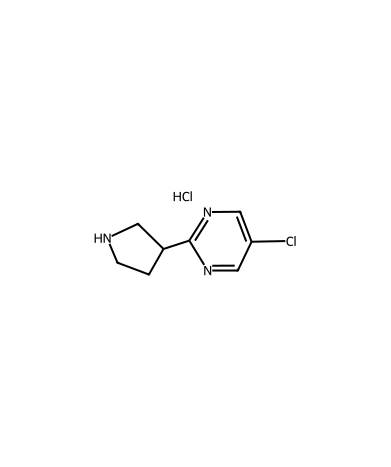 Cl.Clc1cnc(C2CCNC2)nc1